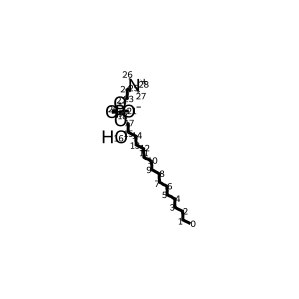 CCCCCCCCCCCCCCCC(O)COP(=O)([O-])OCC[N+](C)(C)C